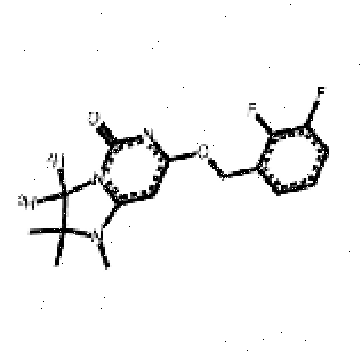 [2H]C1([2H])n2c(cc(OCc3cccc(F)c3F)nc2=O)N(C)C1(C)C